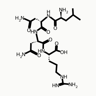 CC(C)C[C@H](N)C(=O)N[C@@H](CC(N)=O)C(=O)N[C@@H](CC(N)=O)C(=O)N[C@@H](CCCNC(=N)N)C(=O)O